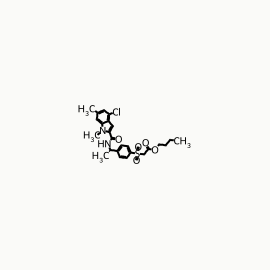 CCCCOC(=O)CS(=O)(=O)c1ccc([C@@H](C)NC(=O)c2cc3c(Cl)cc(C)cc3n2C)cc1